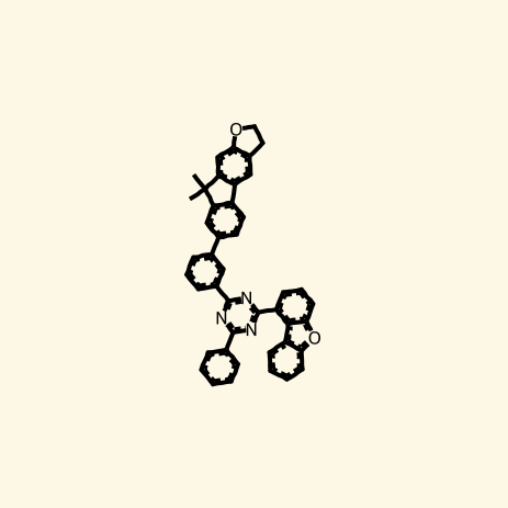 CC1(C)c2cc(-c3cccc(-c4nc(-c5ccccc5)nc(-c5cccc6oc7ccccc7c56)n4)c3)ccc2-c2cc3c(cc21)OCC3